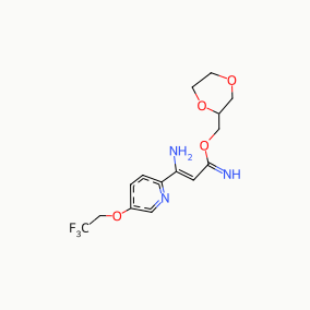 N=C(/C=C(\N)c1ccc(OCC(F)(F)F)cn1)OCC1COCCO1